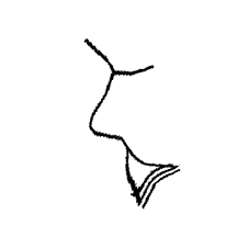 CC(C)CC1C#C1